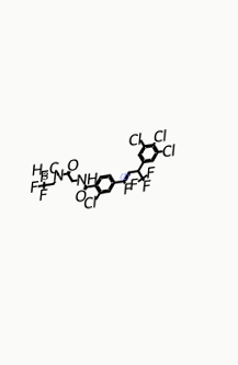 CN(CC(F)(F)F)C(=O)CNC(=O)c1ccc(/C(F)=C/C(c2cc(Cl)c(Cl)c(Cl)c2)C(F)(F)F)cc1Cl